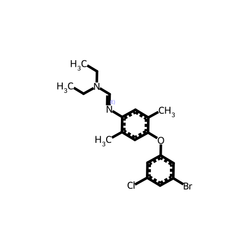 CCN(/C=N/c1cc(C)c(Oc2cc(Cl)cc(Br)c2)cc1C)CC